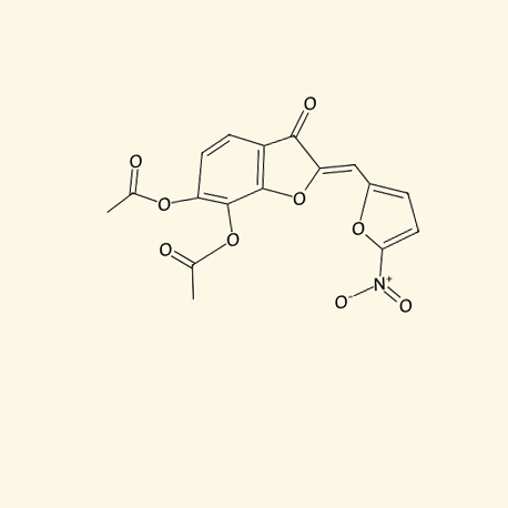 CC(=O)Oc1ccc2c(c1OC(C)=O)OC(=Cc1ccc([N+](=O)[O-])o1)C2=O